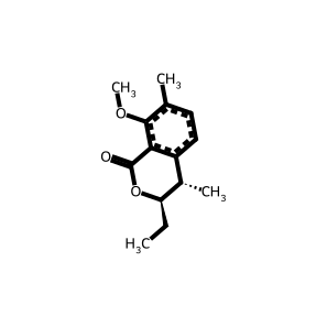 CC[C@H]1OC(=O)c2c(ccc(C)c2OC)[C@@H]1C